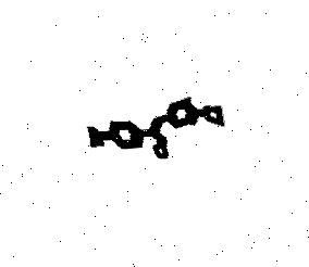 O=C/C(=C\c1ccc(Cl)cc1)c1ccc(Br)cc1